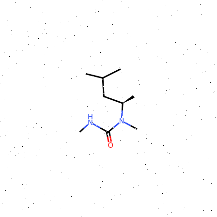 CNC(=O)N(C)[C@H](C)CC(C)C